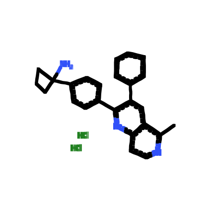 Cc1nccc2nc(-c3ccc(C4(N)CCC4)cc3)c(-c3ccccc3)cc12.Cl.Cl